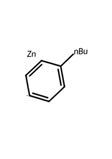 CCCCc1cc[c]cc1.[Zn]